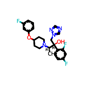 C[C@@H](N1CCC(Oc2cccc(F)c2)CC1)[C@](O)(Cn1cncn1)c1ccc(F)cc1F